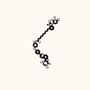 C[C@@H]1CNc2c(sc3ccc4nc(-c5ccc(OC6CCC(NC(=O)CCCCCCCCCc7cccc8c7n(C)c(=O)n8C7CCC(=O)NC7=O)CC6)cc5)ccc4c23)C(=O)N1